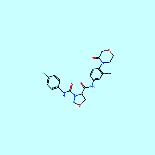 Cc1cc(NC(=O)C2COCN2C(=O)Nc2ccc(Cl)cc2)ccc1N1CCOCC1=O